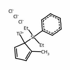 CC[Si](CC)(c1ccccc1)[C]1([Ti+3])C=CC=C1C.[Cl-].[Cl-].[Cl-]